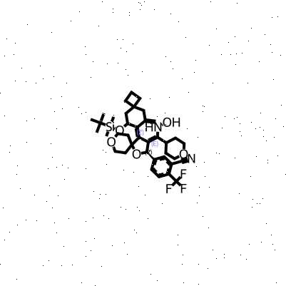 C=C1CC2(CCC2)CC(O[Si](C)(C)C(C)(C)C)/C1=C1/C(=C(\NO)C2CCOCC2)[C@@H](c2ccc(C(F)(F)F)c(C#N)c2)OC12CCOCC2